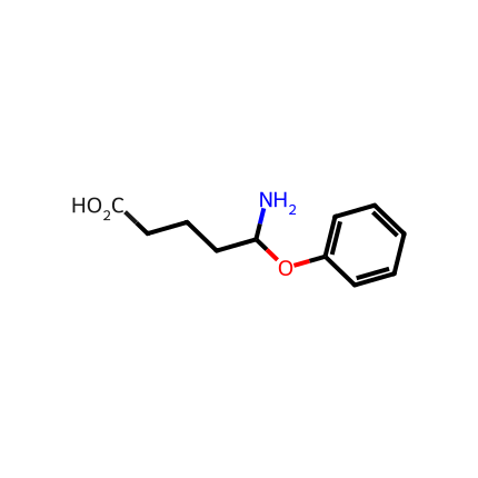 NC(CCCC(=O)O)Oc1ccccc1